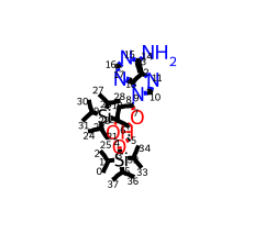 CC(C)[Si](OC[C@H]1O[C@@H](n2cnc3c(N)ncnc32)C[C@@]1(O)[Si](C(C)C)(C(C)C)C(C)C)(C(C)C)C(C)C